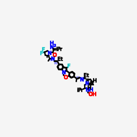 CC/C(=C\N=C(/C)[C@@H]1CC(F)(F)CN1C(=O)[C@@H](N)C(C)C)c1ccc2c(c1)c(F)c1n2COc2cc(/C(C)=C/N=C(\CC)[C@@H]3C[C@H]4C[C@H]4N3CC(NCO)C(C)C)ccc2-1